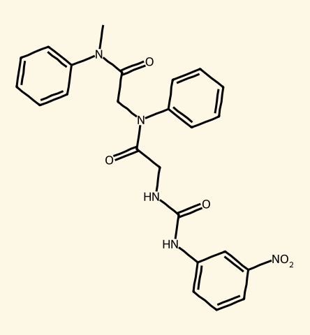 CN(C(=O)CN(C(=O)CNC(=O)Nc1cccc([N+](=O)[O-])c1)c1ccccc1)c1ccccc1